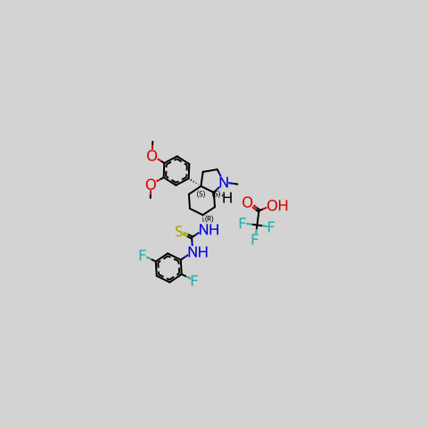 COc1ccc([C@@]23CC[C@@H](NC(=S)Nc4cc(F)ccc4F)C[C@@H]2N(C)CC3)cc1OC.O=C(O)C(F)(F)F